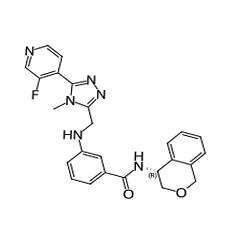 Cn1c(CNc2cccc(C(=O)N[C@H]3COCc4ccccc43)c2)nnc1-c1ccncc1F